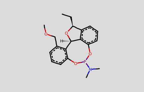 CC[C@@H]1O[C@@H]2c3c(COC)cccc3OP(N(C)C)Oc3cccc1c32